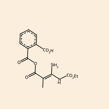 CCOC(=O)NC([SiH3])=C(C)C(=O)OC(=O)c1ccccc1C(=O)O